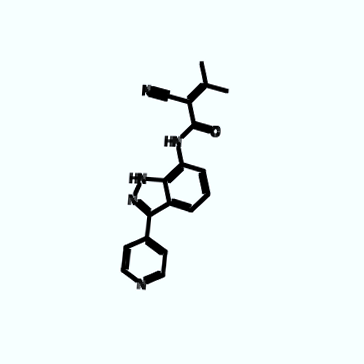 CC(C)=C(C#N)C(=O)Nc1cccc2c(-c3ccncc3)n[nH]c12